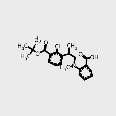 CC(CN(C)c1ccccc1C(=O)O)c1cccc(C(=O)OC(C)(C)C)c1Cl